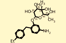 CCc1ccc(Cc2ccc(N)cc2O[C@@H]2O[C@H]([C@@H](C)O)[C@@](C)(O)[C@H](O)[C@H]2O)cc1